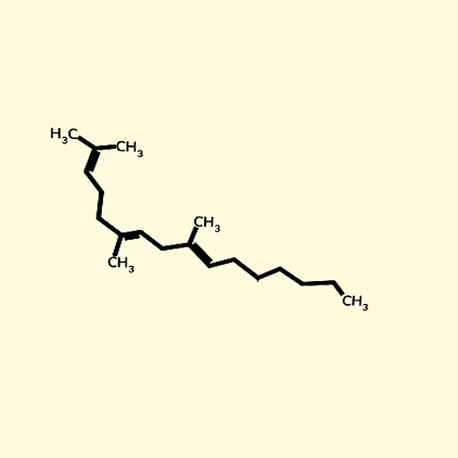 CCCC[CH]C/C=C(\C)C/C=C(\C)CCC=C(C)C